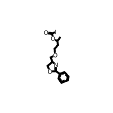 CC(CCOCC1COC(c2ccccc2)=N1)OC(=O)I